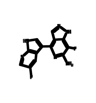 Nc1nc(-c2c[nH]c3ncc(F)cc23)c2cn[nH]c2c1F